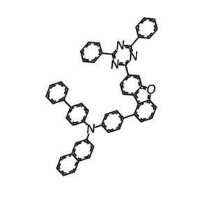 c1ccc(-c2ccc(N(c3ccc(-c4cccc5oc6cc(-c7nc(-c8ccccc8)nc(-c8ccccc8)n7)ccc6c45)cc3)c3ccc4ccccc4c3)cc2)cc1